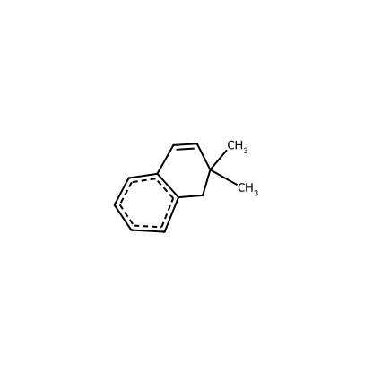 CC1(C)C=Cc2ccccc2C1